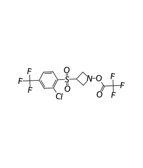 O=C(ON1CC(S(=O)(=O)c2ccc(C(F)(F)F)cc2Cl)C1)C(F)(F)F